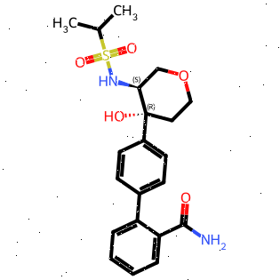 CC(C)S(=O)(=O)N[C@H]1COCC[C@@]1(O)c1ccc(-c2ccccc2C(N)=O)cc1